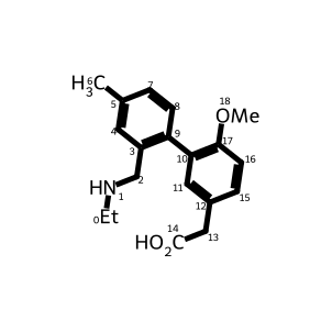 CCNCc1cc(C)ccc1-c1cc(CC(=O)O)ccc1OC